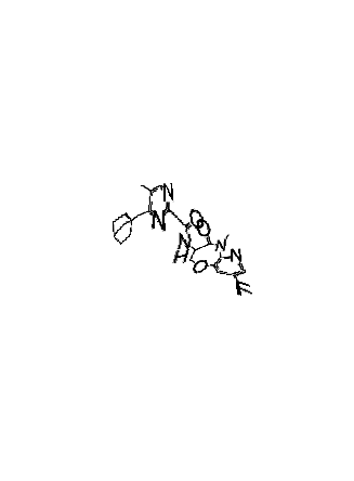 Cc1cnc(C(=O)NC2COc3cc(F)cnc3N(C)C2=O)nc1C12CCC(CC1)CC2